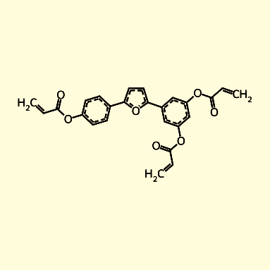 C=CC(=O)Oc1ccc(-c2ccc(-c3cc(OC(=O)C=C)cc(OC(=O)C=C)c3)o2)cc1